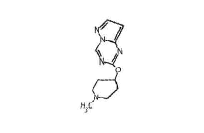 CN1CCC(Oc2ncn3nccc3n2)CC1